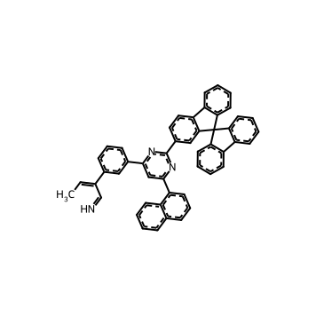 C/C=C(\C=N)c1cccc(-c2cc(-c3cccc4ccccc34)nc(-c3ccc4c(c3)C3(c5ccccc5-c5ccccc53)c3ccccc3-4)n2)c1